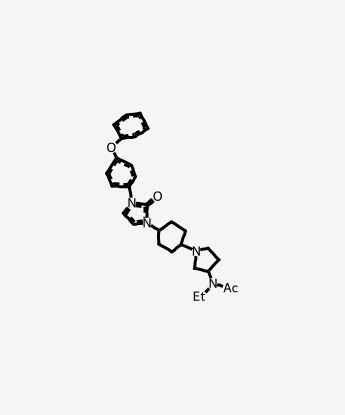 CCN(C(C)=O)C1CCN(C2CCC(n3ccn(-c4ccc(Oc5ccccc5)cc4)c3=O)CC2)C1